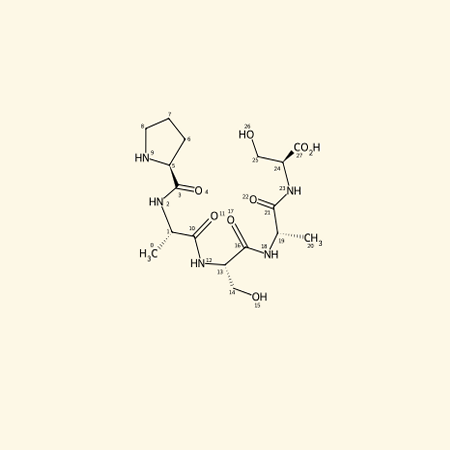 C[C@H](NC(=O)[C@@H]1CCCN1)C(=O)N[C@@H](CO)C(=O)N[C@@H](C)C(=O)N[C@@H](CO)C(=O)O